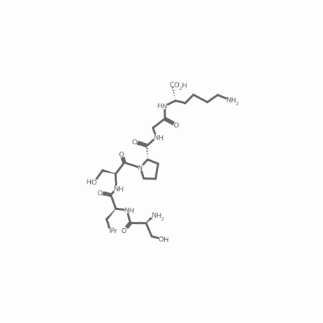 CC(C)C[C@H](NC(=O)[C@@H](N)CO)C(=O)N[C@@H](CO)C(=O)N1CCC[C@H]1C(=O)NCC(=O)N[C@@H](CCCCN)C(=O)O